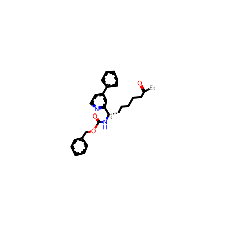 CCC(=O)CCCCC[C@H](NC(=O)OCc1ccccc1)c1cc(-c2ccccc2)ccn1